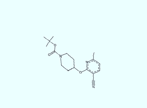 Cc1ccc(C#N)c(OC2CCN(C(=O)OC(C)(C)C)CC2)n1